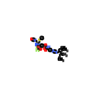 C=C(CCCC)C1=C(CN2CCN(c3ccc(C(=O)NS(=O)(=O)c4ccc(N[C@H](CCN5CCOCC5)CSc5ccccc5)c(S(=O)(=O)C(F)(F)F)c4)cc3)CC2)CCC(C)(C)C1